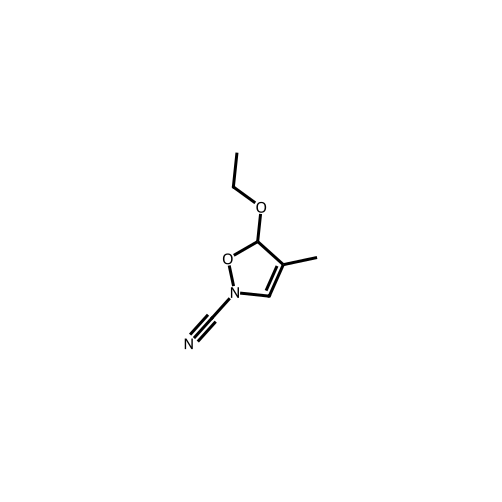 CCOC1ON(C#N)C=C1C